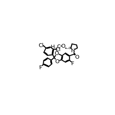 COC[C@@H]1CCCN1C(=O)c1cc2c(cc1F)OC(c1ccc(F)cc1)(c1ccc(Cl)cc1Cl)O2